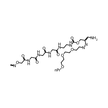 C=NOCC(=O)NCC(=O)NCC(=O)NCC(=O)NCCNC(=O)OCC(=C/N)/N=N\CCOCCOCCOCCC